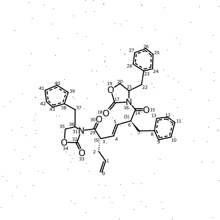 C=CC[C@@H](C=C[C@H](Cc1ccccc1)C(=O)N1C(=O)OCC1Cc1ccccc1)C(=O)N1C(=O)OCC1Cc1ccccc1